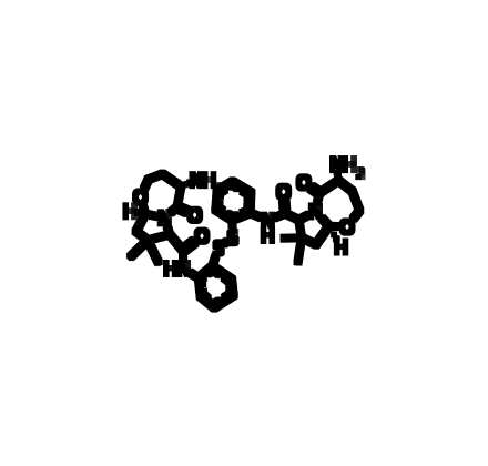 CC1(C)C[C@@H]2OCC[C@H](N)C(=O)N2C1C(=O)Nc1ccccc1SSc1ccccc1NC(=O)C1N2C(=O)[C@@H](N)CCO[C@H]2CC1(C)C